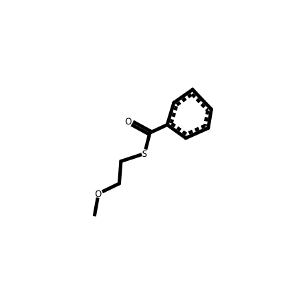 COCCSC(=O)c1ccccc1